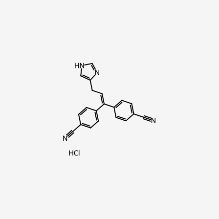 Cl.N#Cc1ccc(C(=CCc2c[nH]cn2)c2ccc(C#N)cc2)cc1